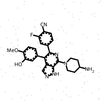 COc1ccc(-c2c(-c3ccc(C#N)c(F)c3)nc(N3CCC(N)CC3)c3[nH]ncc23)cc1O